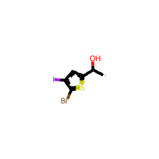 [CH2]C(O)c1cc(I)c(Br)s1